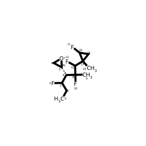 CCC(F)C([C@@H]1CO1)C(C)(F)C(F)C1(C)CC1F